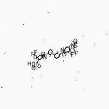 Cc1c(-c2nc3cc(CN4CCC[C@H]4C(=O)O)c(OC(F)F)cc3o2)cccc1-c1cccc(-c2nc3cc(CN4CCC45COC5)c(OC(F)F)cc3o2)c1C